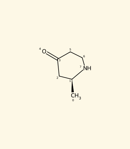 C[C@H]1CC(=O)CCN1